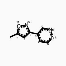 Cc1cc(-c2ccnnc2)no1